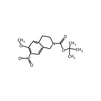 COc1cc2c(cc1[N+](=O)[O-])CN(C(=O)OC(C)(C)C)CC2